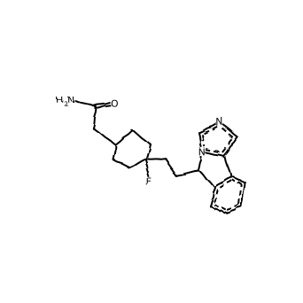 NC(=O)CC1CCC(F)(CCC2c3ccccc3-c3cncn32)CC1